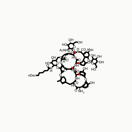 CCCCCCCCCCCCCCCC(=O)NC1C(O)[C@H](O)C(CO)O[C@H]1Oc1c2cc3cc1OC1=C(C)C=C(CC1)C[C@H]1NC(=O)[C@H](N)c4ccc(O)c(c4)Oc4cc(O)cc(c4)[C@H](NC1=O)C(=O)N[C@H]3C(=O)N[C@H]1C(=O)N[C@H](C(=O)N[C@H](C(=O)O)C3=CC(O)CC(O[C@H]4OC(CO)[C@@H](O)C(O)C4O)=C3C3CC1=CC=C3O)[C@H](O[C@@H]1OC(CO)[C@@H](O)C(O)C1NC(C)=O)C1=CC=C(O2)[C@@H](Cl)C1